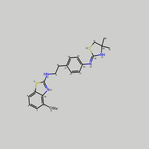 COc1cccc2sc(NCCc3ccc(/N=C4/NC(C)(C)CS4)cc3)nc12